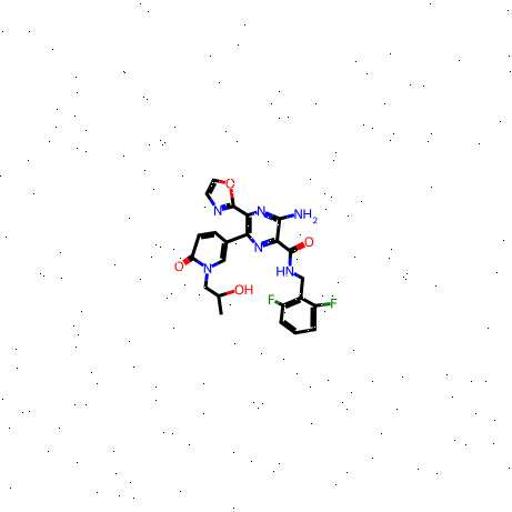 CC(O)Cn1cc(-c2nc(C(=O)NCc3c(F)cccc3F)c(N)nc2-c2ncco2)ccc1=O